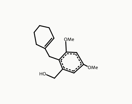 COc1cc(CO)c(CC2=CCCCC2)c(OC)c1